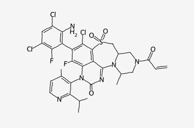 C=CC(=O)N1CC(C)N2c3nc(=O)n(-c4c(C)ccnc4C(C)C)c4c(F)c(-c5c(N)c(Cl)cc(Cl)c5F)c(Cl)c(c34)S(=O)(=O)CC2C1